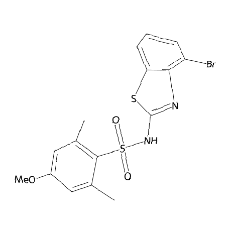 COc1cc(C)c(S(=O)(=O)Nc2nc3c(Br)cccc3s2)c(C)c1